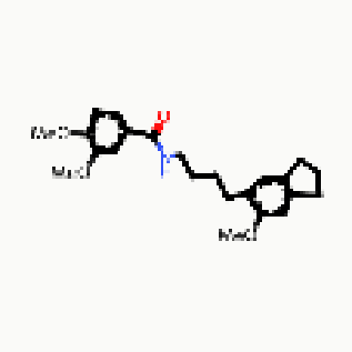 COc1cc2c(cc1CCCCNC(=O)c1ccc(OC)c(OC)c1)CCC2